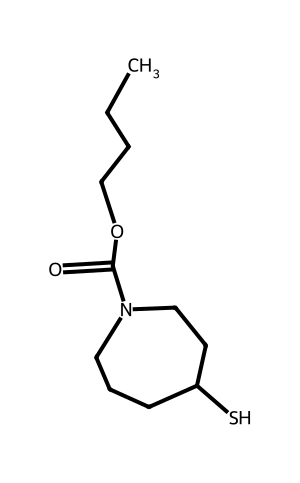 CCCCOC(=O)N1CCCC(S)CC1